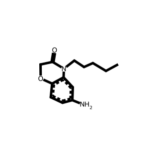 CCCCCN1C(=O)COc2ccc(N)cc21